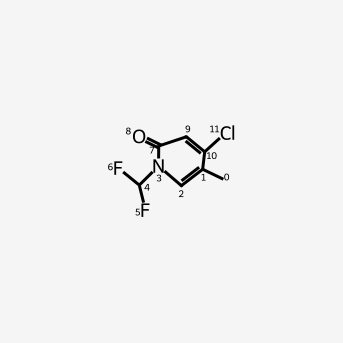 Cc1cn(C(F)F)c(=O)cc1Cl